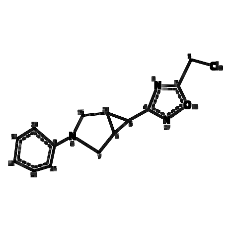 ClCc1nc(C2C3CN(c4ccccc4)CC32)no1